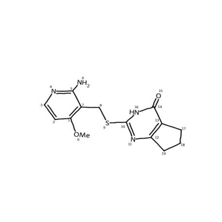 COc1ccnc(N)c1CSc1nc2c(c(=O)[nH]1)CCC2